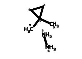 CC1(C)CC1.NN